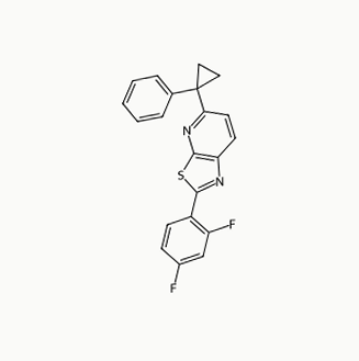 Fc1ccc(-c2nc3ccc(C4(c5ccccc5)CC4)nc3s2)c(F)c1